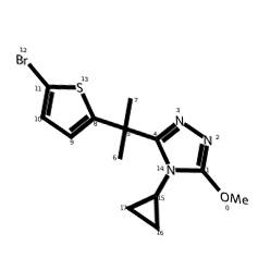 COc1nnc(C(C)(C)c2ccc(Br)s2)n1C1CC1